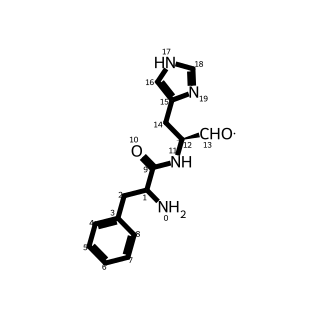 NC(Cc1ccccc1)C(=O)N[C@H]([C]=O)Cc1c[nH]cn1